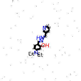 CCN(CC)c1ccc(C=NNCc2cccnc2)c(O)c1